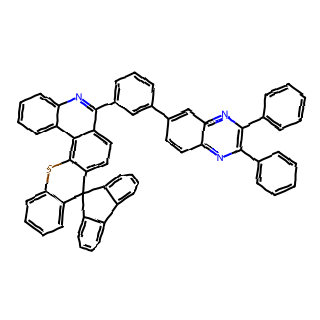 c1ccc(-c2nc3ccc(-c4cccc(-c5nc6ccccc6c6c7c(ccc56)C5(c6ccccc6S7)c6ccccc6-c6ccccc65)c4)cc3nc2-c2ccccc2)cc1